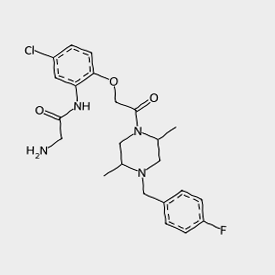 CC1CN(C(=O)COc2ccc(Cl)cc2NC(=O)CN)C(C)CN1Cc1ccc(F)cc1